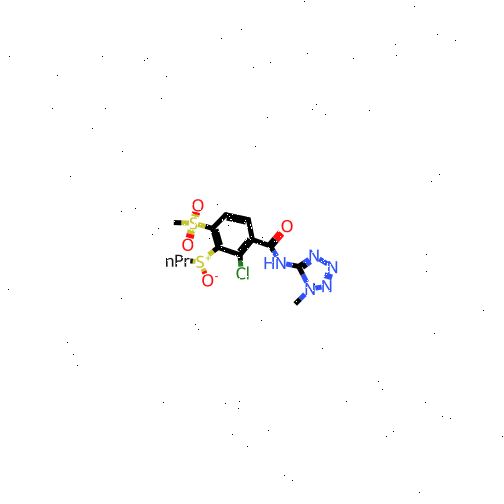 CCC[S+]([O-])c1c(S(C)(=O)=O)ccc(C(=O)Nc2nnnn2C)c1Cl